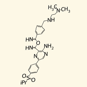 CC(C)S(=O)(=O)c1ccc(-c2cnc(N)c(C(=N)OC(=N)c3ccc(CNCCN(C)C)cc3)n2)cc1